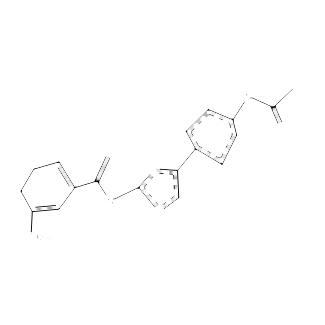 CCC(=O)Nc1ccc(-c2csc(NC(=O)C3=CCCC(OC)=C3)n2)cc1